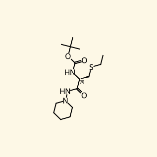 CCSC[C@H](NC(=O)OC(C)(C)C)C(=O)NN1CCCCC1